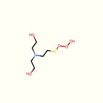 OCCN(CCO)CCSOOO